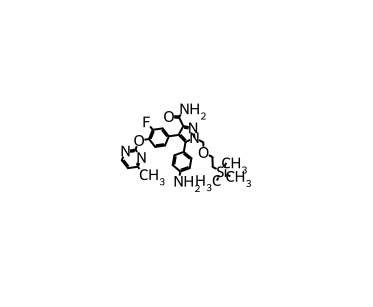 Cc1ccnc(Oc2ccc(-c3c(C(N)=O)nn(COCC[Si](C)(C)C)c3-c3ccc(N)cc3)cc2F)n1